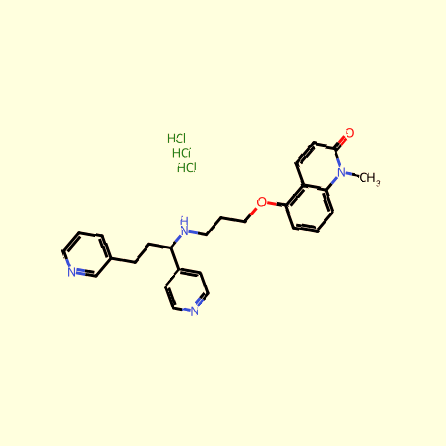 Cl.Cl.Cl.Cn1c(=O)ccc2c(OCCCNC(CCc3cccnc3)c3ccncc3)cccc21